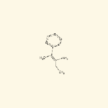 CCC(N)=C(C)c1ccccc1